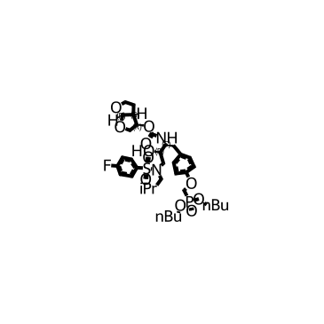 CCCCOP(=O)(COc1ccc(C[C@H](NC(=O)O[C@H]2CO[C@H]3OCC[C@H]32)[C@H](O)CN(CC(C)C)S(=O)(=O)c2ccc(F)cc2)cc1)OCCCC